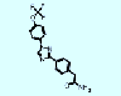 NC(=O)Cc1ccc(-c2ncn(-c3ccc(OC(F)(F)F)cc3)n2)cc1